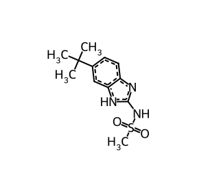 CC(C)(C)c1ccc2nc(NS(C)(=O)=O)[nH]c2c1